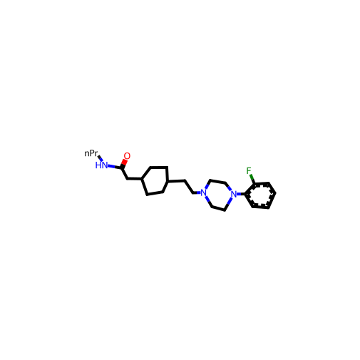 CCCNC(=O)CC1CCC(CCN2CCN(c3ccccc3F)CC2)CC1